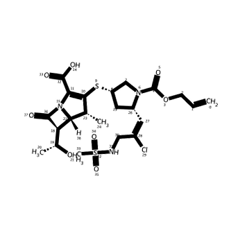 C=CCOC(=O)N1C[C@@H](SC2=C(C(=O)O)N3C(=O)[C@H]([C@@H](C)O)[C@H]3[C@H]2C)C[C@H]1/C=C(/Cl)CNS(C)(=O)=O